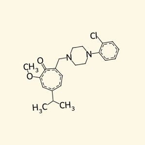 COc1cc(C(C)C)ccc(CN2CCN(c3ccccc3Cl)CC2)c1=O